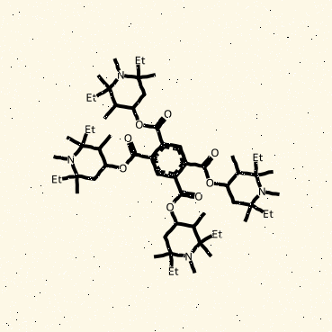 CCC1(C)CC(OC(=O)c2cc(C(=O)OC3CC(C)(CC)N(C)C(C)(CC)C3C)c(C(=O)OC3CC(C)(CC)N(C)C(C)(CC)C3C)cc2C(=O)OC2CC(C)(CC)N(C)C(C)(CC)C2C)C(C)C(C)(CC)N1C